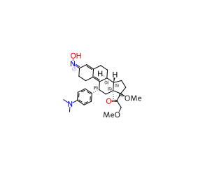 COCC(=O)[C@@]1(OC)CC[C@H]2[C@@H]3CCC4=C/C(=N\O)CCC4=C3[C@@H](c3ccc(N(C)C)cc3)C[C@@]21C